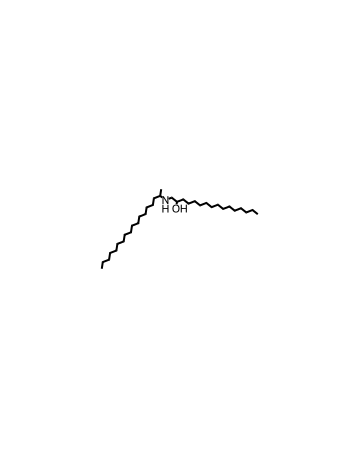 CCCCCCCCCCCCCCCCC(C)NCC(O)CCCCCCCCCCCCCC